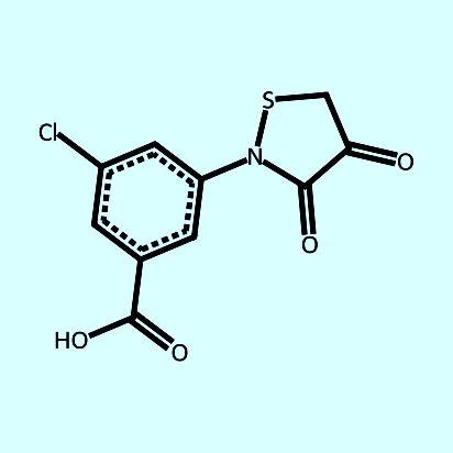 O=C1CSN(c2cc(Cl)cc(C(=O)O)c2)C1=O